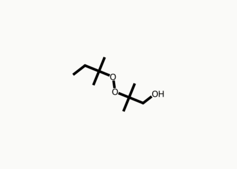 CCC(C)(C)OOC(C)(C)CO